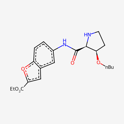 CCCCO[C@@H]1CCN[C@@H]1C(=O)Nc1ccc2oc(C(=O)OCC)cc2c1